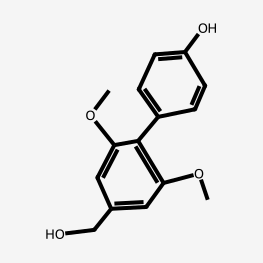 COc1cc(CO)cc(OC)c1-c1ccc(O)cc1